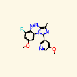 COc1cncc(-c2nc(C)c3nnc4c(F)cc(OC)cc4n23)c1